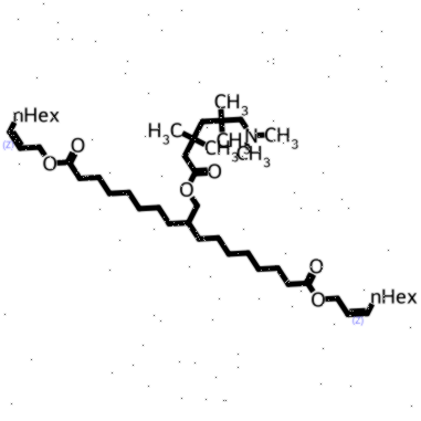 CCCCCC/C=C\COC(=O)CCCCCCCC(CCCCCCCC(=O)OC/C=C\CCCCCC)COC(=O)CC(C)(C)CC(C)(C)CN(C)C